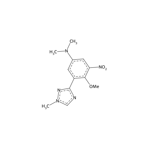 COc1c(-c2ncn(C)n2)cc(N(C)C)cc1[N+](=O)[O-]